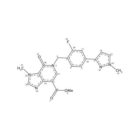 COC(=O)c1cn(Cc2ccc(-c3ccn(C)n3)cc2F)c(=O)c2c1ncn2C